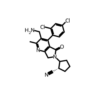 Cc1nc2c(c(-c3ccc(Cl)cc3Cl)c1CN)C(=O)N(C1CCC[C@@H]1C#N)C2